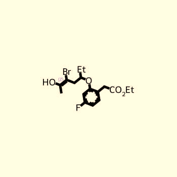 CCOC(=O)Cc1ccc(F)cc1OC(CC)C/C(Br)=C(\C)O